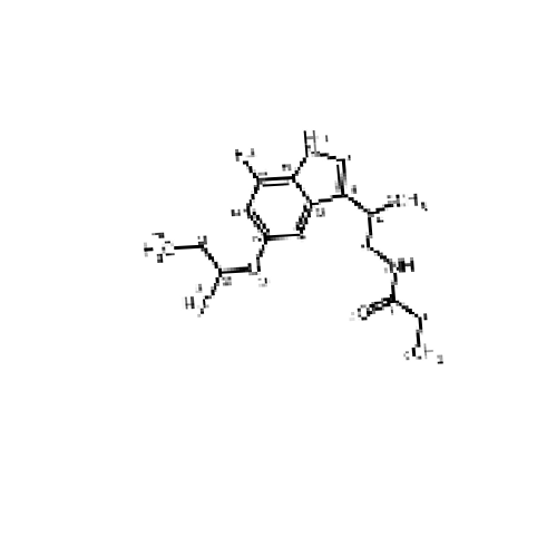 CCC(=O)NCC(C)c1c[nH]c2c(F)cc(OC(C)CC)cc12